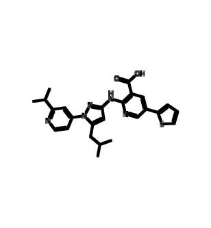 CC(C)Cc1cc(Nc2ncc(-c3cccs3)cc2C(=O)O)nn1-c1ccnc(C(C)C)c1